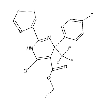 CCOC(=O)C1=C(Cl)NC(c2ccccn2)=NC1(c1ccc(F)cc1)C(F)(F)F